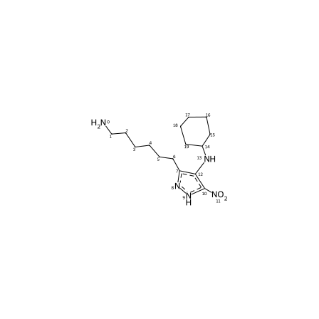 NCCCCCCc1n[nH]c([N+](=O)[O-])c1NC1CCCCC1